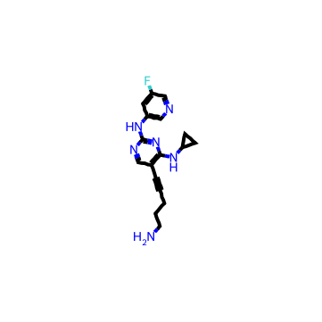 NCCCC#Cc1cnc(Nc2cncc(F)c2)nc1NC1CC1